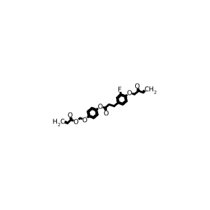 C=CC(=O)COc1ccc(CCC(=O)Oc2ccc(OCOC(=O)C=C)cc2)cc1F